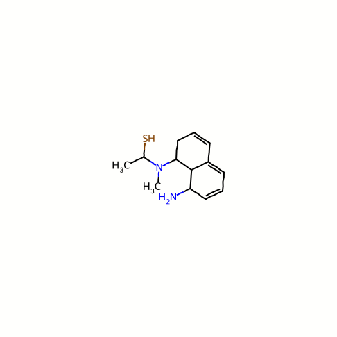 CC(S)N(C)C1CC=CC2=CC=CC(N)C21